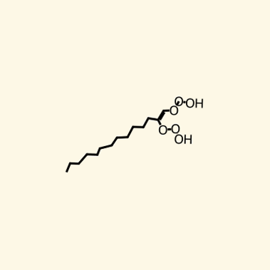 CCCCCCCCCCCCC(=COOO)OOO